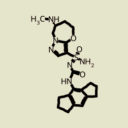 CN[C@H]1CCOc2c(S(N)(=O)=NC(=O)Nc3c4c(cc5c3CCC5)CCC4)cnn2C1